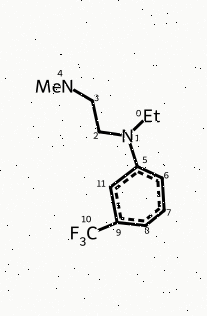 CCN(CCNC)c1cccc(C(F)(F)F)c1